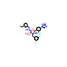 CCc1cccc(CNCC(O)C(Cc2cc(F)cc(F)c2)NC(=O)c2ccc(-n3cnnn3)cc2Cl)c1